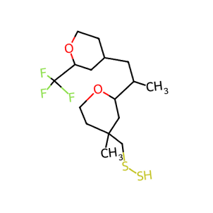 CC(CC1CCOC(C(F)(F)F)C1)C1CC(C)(CSS)CCO1